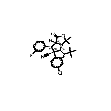 CC(C)(C)C[C@@H]1N2[C@@H](C(=O)OC2(C)C)[C@H](c2cccc(F)c2)[C@@]1(C#N)c1ccc(Cl)cc1F